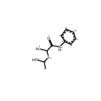 CC(=O)C(SC(C)O)C(=O)Nc1ccccc1